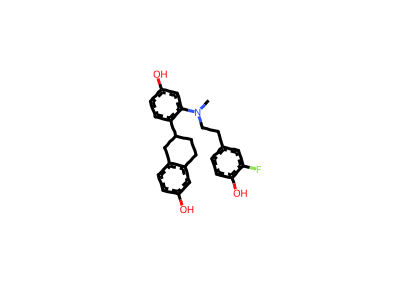 CN(CCc1ccc(O)c(F)c1)c1cc(O)ccc1C1CCc2cc(O)ccc2C1